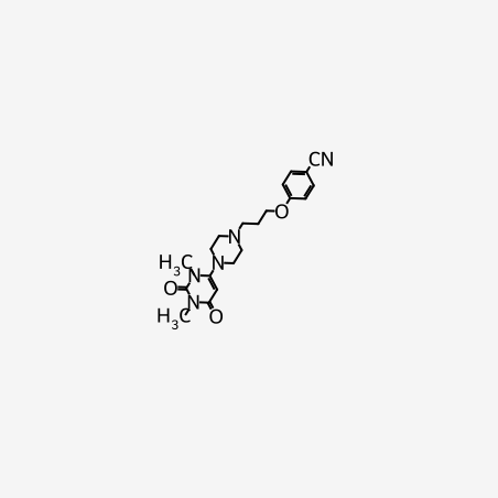 Cn1c(N2CCN(CCCOc3ccc(C#N)cc3)CC2)cc(=O)n(C)c1=O